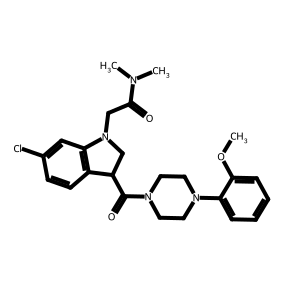 COc1ccccc1N1CCN(C(=O)C2CN(CC(=O)N(C)C)c3cc(Cl)ccc32)CC1